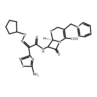 Nc1nc(/C(=N/OC2CCCC2)C(=O)NC2C(=O)N3C(C(=O)[O-])=C(C[n+]4ccccc4)CS[C@H]23)ns1